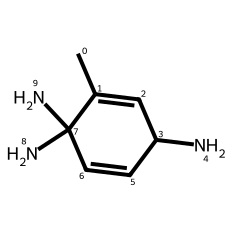 CC1=CC(N)C=CC1(N)N